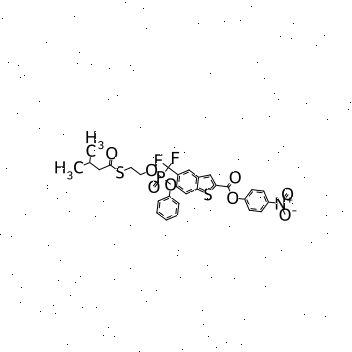 CC(C)CC(=O)SCCOP(=O)(Oc1ccccc1)C(F)(F)c1ccc2sc(C(=O)Oc3ccc([N+](=O)[O-])cc3)cc2c1